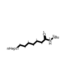 CCCCCCCCCCCCCC(=O)NCCCC